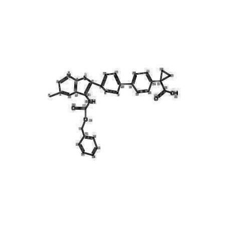 Cc1cnc2sc(-c3ccc(-c4ccc(C5(C(=O)O)CC5)cc4)cc3)c(NC(=O)OCc3ccccc3)c2c1